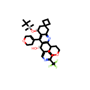 CC(C)(C)[Si](C)(C)O[C@H]1CC2(CCC2)Cc2nc(C3CCOCC3)c([C@@H](O)c3ccc(C(F)(F)F)nc3)c(C3=CCOCC3)c21